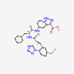 COC(=O)c1n[nH]c2ccc(NC(=O)[C@H](Cc3ccccc3)NC(=O)/C=C/c3cc(CI)ccc3-n3cnnn3)cc12